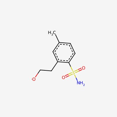 Cc1ccc(S(N)(=O)=O)c(CC[O])c1